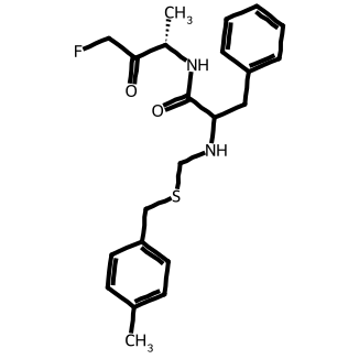 Cc1ccc(CSCNC(Cc2ccccc2)C(=O)N[C@@H](C)C(=O)CF)cc1